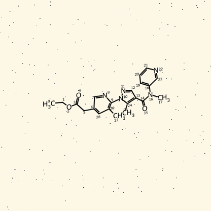 CCOC(=O)Cc1cnc(-n2ncc(C(=O)N(C)c3cccnc3)c2C)c(C)c1